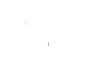 CC[C@@H](C)c1ccncc1C